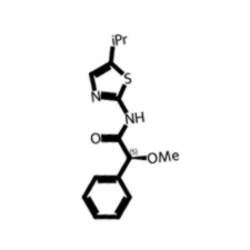 CO[C@H](C(=O)Nc1ncc(C(C)C)s1)c1ccccc1